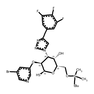 CC(C)(C)[Si](C)(C)OC[C@@H]1O[C@@H](S)[C@@H](Oc2cncc(Br)c2)[C@H](n2cc(-c3cc(F)c(F)c(F)c3)nn2)[C@@H]1O